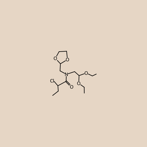 CCOC(CN(CC1OCCO1)C(=O)C(Cl)CC)OCC